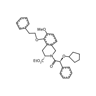 CCOC(=O)[C@@H]1Cc2c(ccc(OC)c2OCCc2ccccc2)CN1C(=O)[C@@H](OC1CCCC1)c1ccccc1